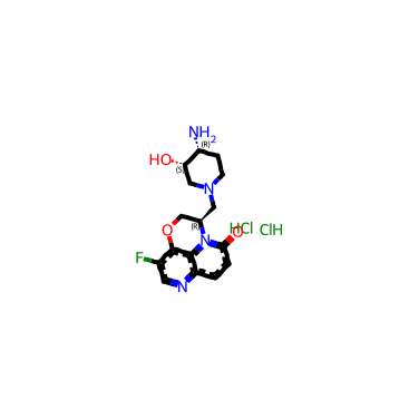 Cl.Cl.N[C@@H]1CCN(C[C@@H]2COc3c(F)cnc4ccc(=O)n2c34)C[C@@H]1O